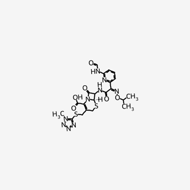 CC(C)O/N=C(\C(=O)NC1C(=O)N2C(C(=O)O)=C(CSc3nnnn3C)CS[C@H]12)c1cccc(NC=O)n1